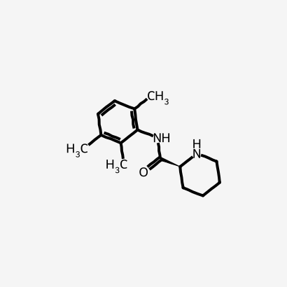 Cc1ccc(C)c(NC(=O)[C@@H]2CCCCN2)c1C